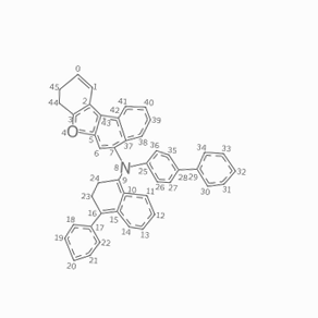 C1=Cc2c(oc3cc(N(C4=c5ccccc5=C(c5ccccc5)CC4)c4ccc(-c5ccccc5)cc4)c4ccccc4c23)CC1